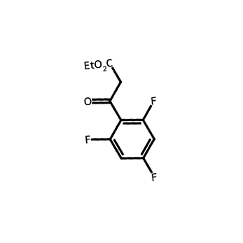 CCOC(=O)CC(=O)c1c(F)cc(F)cc1F